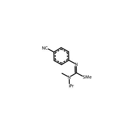 CSC(=Nc1ccc(C#N)cc1)N(C)C(C)C